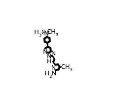 Cc1cc(N)nc(/C=C/c2nc3cc(-c4ccc(N(C)C)cc4)cnc3[nH]2)c1